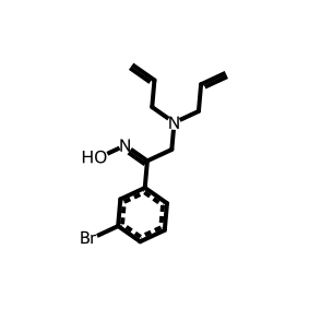 C=CCN(CC=C)C/C(=N/O)c1cccc(Br)c1